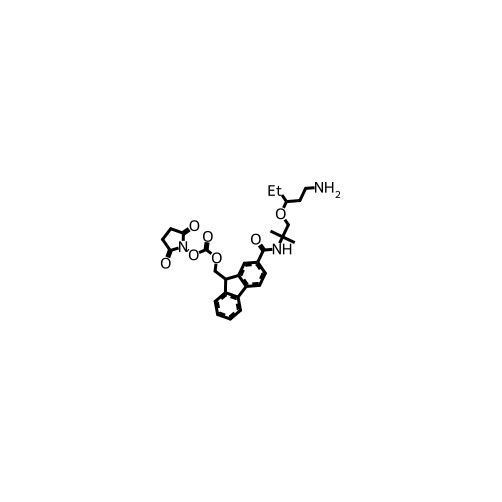 CCC(CCN)OCC(C)(C)NC(=O)c1ccc2c(c1)C(COC(=O)ON1C(=O)CCC1=O)c1ccccc1-2